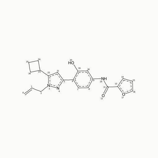 C=CCn1nc(-c2ccc(NC(=O)c3ccco3)cc2O)cc1C1CCC1